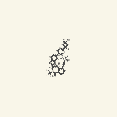 [2H]C([2H])([2H])N1C(=O)c2cccc(C#C[Si](C(C)C)(C(C)C)C(C)C)c2[C@H]2C[C@@H]1c1nc3ccc(-c4cnc(C5(N)CC(F)(F)C5)nc4)cc3n12